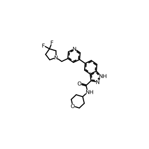 O=C(NC1CCOCC1)c1n[nH]c2ccc(-c3cncc(CN4CCC(F)(F)C4)c3)cc12